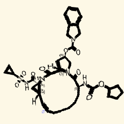 O=C(N[C@H]1CCCCC/C=C\[C@@H]2C[C@@]2(C(=O)NS(=O)(=O)C2CC2)NC(=O)[C@@H]2C[C@@H](OC(=O)N3Cc4ccccc4C3)CN2C1=O)OC1CCCC1